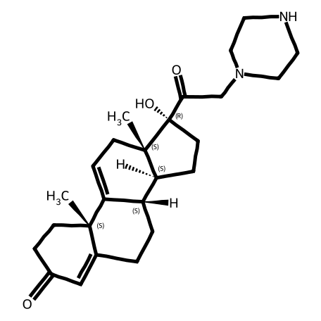 C[C@]12CCC(=O)C=C1CC[C@@H]1C2=CC[C@@]2(C)[C@H]1CC[C@]2(O)C(=O)CN1CCNCC1